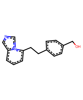 OCc1ccc(CCc2cccc3cncn23)cc1